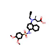 C#CCN(c1ccc(NS(=O)(=O)c2ccc(OC)c(OC)c2)c2ccccc12)[C@@H](C)CC(=O)O